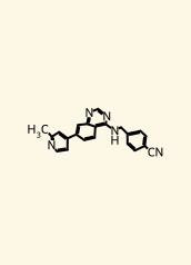 Cc1cc(-c2ccc3c(NCc4ccc(C#N)cc4)ncnc3c2)ccn1